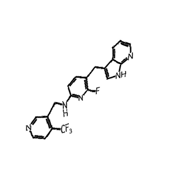 Fc1nc(NCc2cnccc2C(F)(F)F)ccc1Cc1c[nH]c2ncccc12